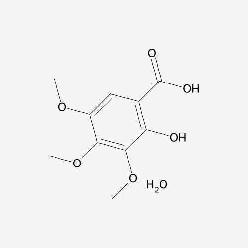 COc1cc(C(=O)O)c(O)c(OC)c1OC.O